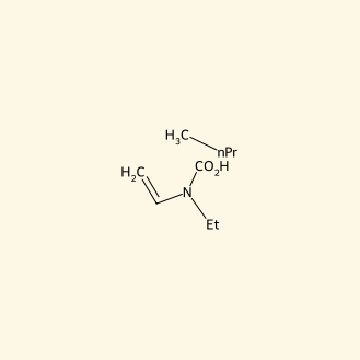 C=CN(CC)C(=O)O.CCCC